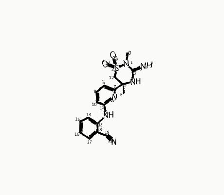 CN1C(=N)N[C@](C)(c2cccc(Nc3ccccc3C#N)n2)CS1(=O)=O